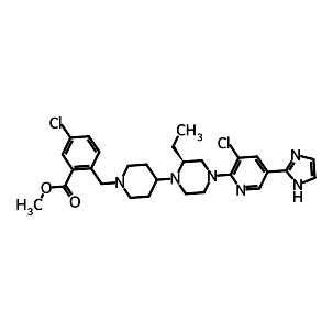 CC[C@H]1CN(c2ncc(-c3ncc[nH]3)cc2Cl)CCN1C1CCN(Cc2ccc(Cl)cc2C(=O)OC)CC1